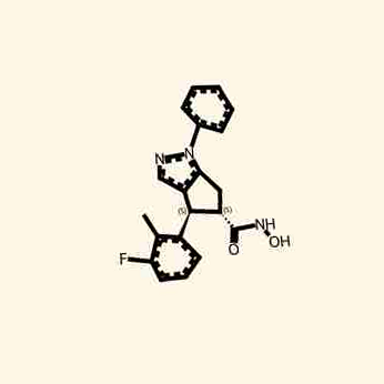 Cc1c(F)cccc1[C@H]1c2cnn(-c3ccccc3)c2C[C@@H]1C(=O)NO